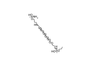 CCCOC(C)(O)NCCCOOOOOOOOOOOOCNCCCOC(C)(N)O